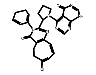 O=c1nc[nH]c2ncnc(N3CCCC3c3nc4c(c(=O)n3C3=CCCC=C3)CC/C(Cl)=C\C=C/4)c12